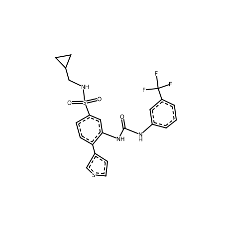 O=C(Nc1cccc(C(F)(F)F)c1)Nc1cc(S(=O)(=O)NCC2CC2)ccc1-c1ccsc1